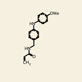 C=CC(=O)NCc1ccc(Nc2ccc(OC)cc2)cc1